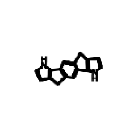 c1cc2c([nH]1)-c1cc3c(cc1C2)-c1[nH]ccc1C3